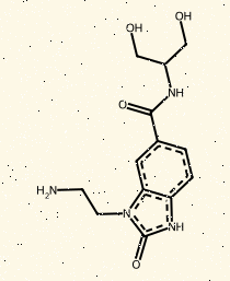 NCCn1c(=O)[nH]c2ccc(C(=O)NC(CO)CO)cc21